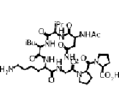 CCC(C)C(NC(=O)C(NC(=O)C(CC(N)=O)NC(C)=O)C(C)C)C(=O)NC(CCCCN)C(=O)NCC(=O)N1CCCC1C(=O)N1CCCC1C(=O)O